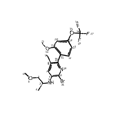 COC[C@H](C)Nc1cc(C)c(-c2ccc(OC(F)(F)F)cc2OC)nc1Br